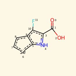 O=C(O)c1[nH]c2[se]ccc2c1F